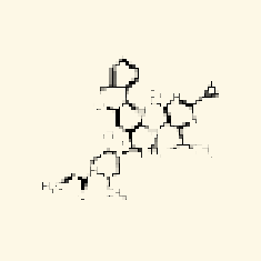 C=CC(=O)N1C[C@H](C)N(C2=NCN(c3c(C)nc(C4CC4)nc3C(C)C)c3nc(-c4ccccc4F)c(Cl)cc32)C[C@H]1C